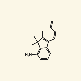 C=C/C=C\C1=C(C)C(C)(C)c2c(N)cccc21